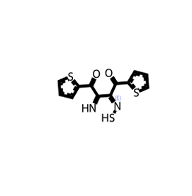 N=C(C(=O)c1cccs1)/C(=N\S)C(=O)c1cccs1